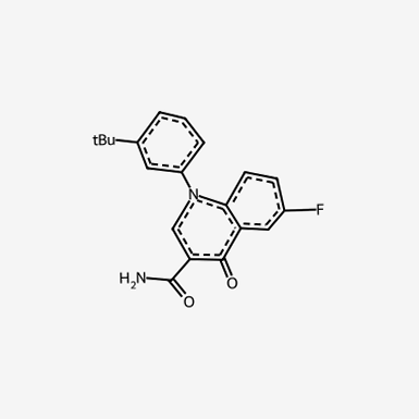 CC(C)(C)c1cccc(-n2cc(C(N)=O)c(=O)c3cc(F)ccc32)c1